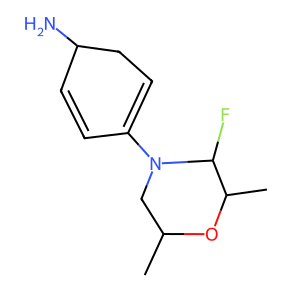 CC1CN(C2=CCC(N)C=C2)C(F)C(C)O1